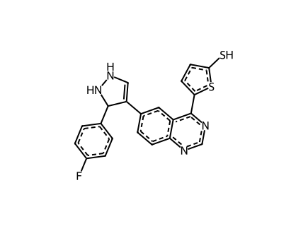 Fc1ccc(C2NNC=C2c2ccc3ncnc(-c4ccc(S)s4)c3c2)cc1